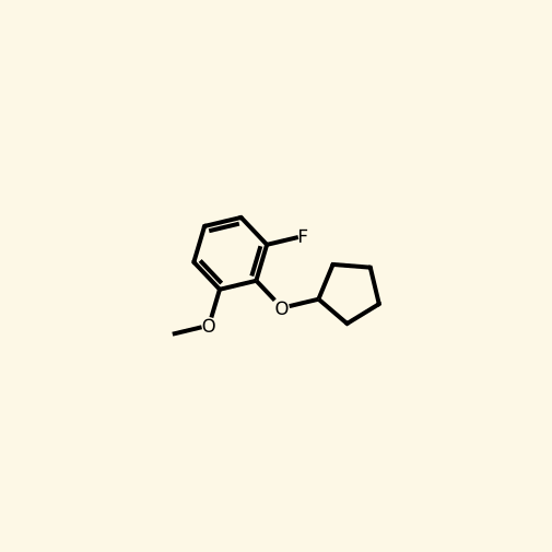 COc1cccc(F)c1OC1CCCC1